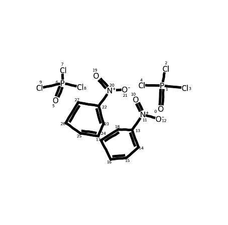 O=P(Cl)(Cl)Cl.O=P(Cl)(Cl)Cl.O=[N+]([O-])c1ccccc1.O=[N+]([O-])c1ccccc1